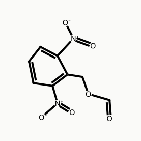 O=COCc1c([N+](=O)[O-])cccc1[N+](=O)[O-]